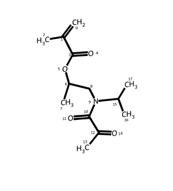 C=C(C)C(=O)OC(C)CN(C(=O)C(C)=O)C(C)C